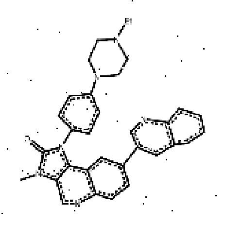 CCN1CCN(c2ccc(-n3c(=O)n(C)c4cnc5ccc(-c6cnc7ccccc7c6)cc5c43)cc2)CC1